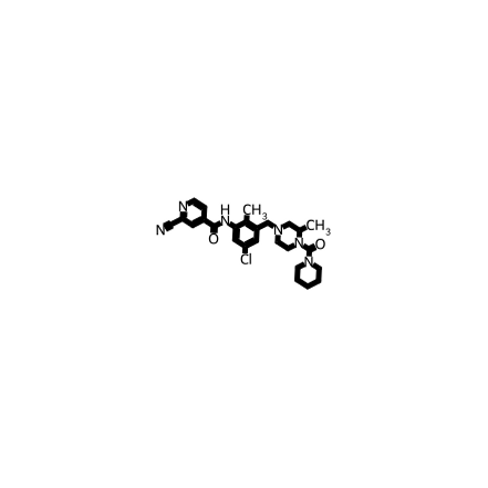 Cc1c(CN2CCN(C(=O)N3CCCCC3)C(C)C2)cc(Cl)cc1NC(=O)c1ccnc(C#N)c1